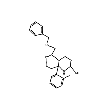 NC1NC2(c3ccccc3F)CCOC(COCc3ccccc3)C2CS1